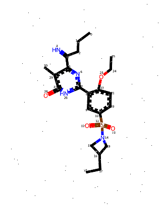 CCCC(=N)c1nc(-c2cc(S(=O)(=O)N3CC(CC)C3)ccc2OCC)[nH]c(=O)c1C